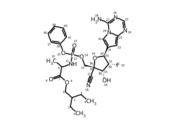 CCC(CC)COC(=O)C(C)NP(=O)(OC[C@@]1(C#N)O[C@@H](c2cc3ncnc(N)n3c2)[C@H](F)[C@@H]1O)Oc1ccccc1